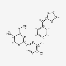 OCC1OC(c2ccc(Cl)c(Cc3ccc(O[C@H]4CCOC4)cc3)c2)CCC1O